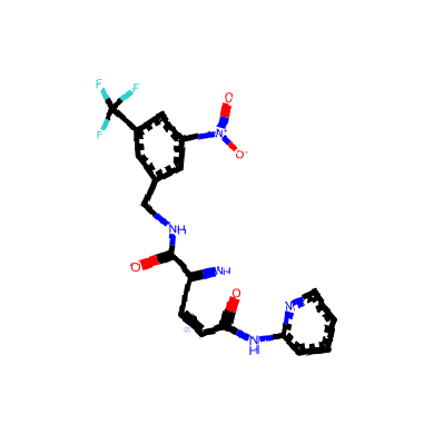 N=C(/C=C\C(=O)Nc1ccccn1)C(=O)NCc1cc([N+](=O)[O-])cc(C(F)(F)F)c1